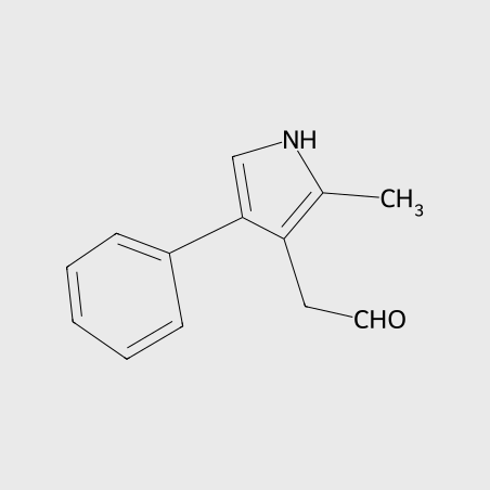 Cc1[nH]cc(-c2ccccc2)c1CC=O